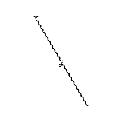 CCCCCCCCC=CCCCCCCCCCCCC(=O)OCCCCCCCCCCCCCCCCCCCCCC(C)C